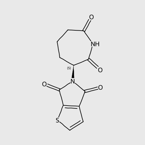 O=C1CCC[C@H](N2C(=O)c3ccsc3C2=O)C(=O)N1